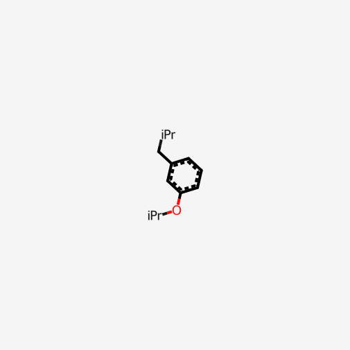 CC(C)Cc1cccc(OC(C)C)c1